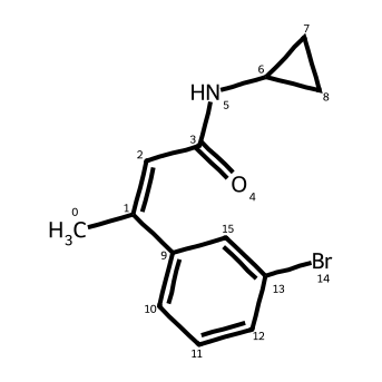 C/C(=C/C(=O)NC1CC1)c1cccc(Br)c1